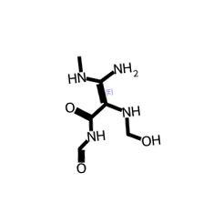 CN/C(N)=C(/NCO)C(=O)NC=O